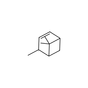 C[C]1C=CC2CC1C2(C)C